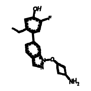 CCc1cc(O)c(F)cc1-c1ccc2cnn(OC3CC(N)C3)c2c1